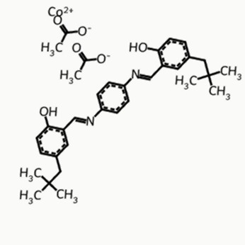 CC(=O)[O-].CC(=O)[O-].CC(C)(C)Cc1ccc(O)c(C=Nc2ccc(N=Cc3cc(CC(C)(C)C)ccc3O)cc2)c1.[Co+2]